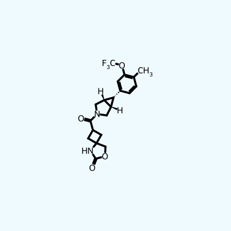 Cc1ccc([C@@H]2[C@@H]3CN(C(=O)C4CC5(COC(=O)N5)C4)C[C@@H]32)cc1OC(F)(F)F